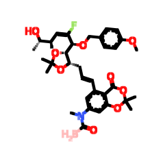 BC(=O)N(C)c1cc(/C=C/C[C@@H]2OC(C)(C)O[C@@H]2[C@H](OCc2ccc(OC)cc2)/C(F)=C\[C@@H](C)[C@H](C)O)c2c(c1)OC(C)(C)OC2=O